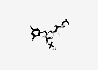 CC(C)CNC(=O)[C@H](C)NC[C@H](Cc1cc(F)cc(F)c1)NC(=O)OC(C)(C)C.Cl